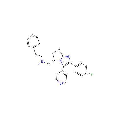 CN(CCc1ccccc1)C[C@@H]1CCc2nc(-c3ccc(F)cc3)c(-c3ccncc3)n21